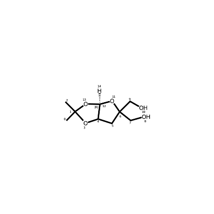 CC1(C)OC2CC(CO)(CO)O[C@@H]2O1